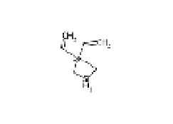 C=C[Si]1(C=C)C[SiH2]C1